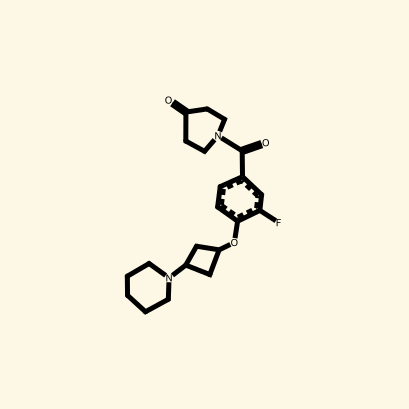 O=C1CCN(C(=O)c2ccc(OC3CC(N4CCCCC4)C3)c(F)c2)CC1